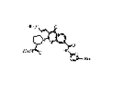 CNC(=O)C1CCCN(c2nc3cc(C(=O)Nc4nc(C(C)(C)C)cs4)ccn3c(=O)c2/C=C/C(=O)O)C1